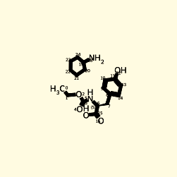 CCOC(=O)N[C@@H](Cc1ccc(O)cc1)C(=O)O.NC1CCCCC1